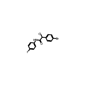 O=C(Nc1ccc(F)cc1)C(Cl)c1ccc(Br)cc1